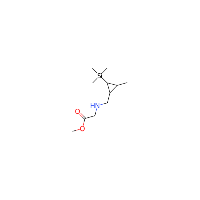 COC(=O)CNCC1C(C)C1[Si](C)(C)C